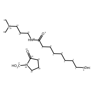 CCCCCCCCCCCCCCCCCC(=O)NCCCN(C)C.O=C(O)N1CCCC1=O